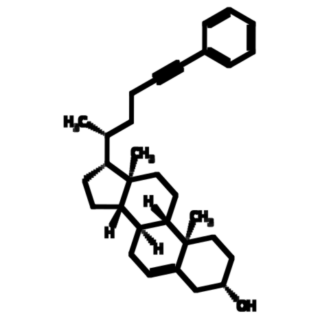 C[C@H](CCC#Cc1ccccc1)[C@H]1CC[C@H]2[C@@H]3CC=C4C[C@@H](O)CC[C@]4(C)[C@H]3CC[C@]12C